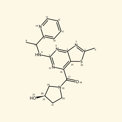 Cc1nc2nc(NC(C)c3ccccn3)nc(C(=O)N3CC[C@@H](O)C3)c2s1